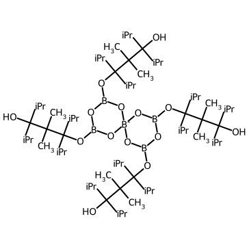 CC(C)C(O)(C(C)C)C(C)(C)C(OB1OB(OC(C(C)C)(C(C)C)C(C)(C)C(O)(C(C)C)C(C)C)O[B-]2(O1)OB(OC(C(C)C)(C(C)C)C(C)(C)C(O)(C(C)C)C(C)C)OB(OC(C(C)C)(C(C)C)C(C)(C)C(O)(C(C)C)C(C)C)O2)(C(C)C)C(C)C